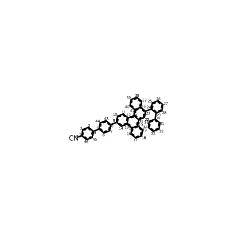 [C-]#[N+]c1ccc(-c2ccc(-c3ccc4c(c3)c3ccccc3c3cc(-c5ccccc5-c5ccccc5)c5ccccc5c43)cc2)cc1